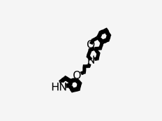 c1ccc2c(c1)COC1(CCN(CCCOc3cccc4[nH]ccc34)CC1)C2